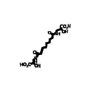 O=C(CCCCCCCC(=O)NCC(O)C(=O)O)NCC(O)C(=O)O